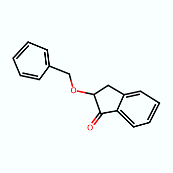 O=C1c2ccccc2CC1OCc1ccccc1